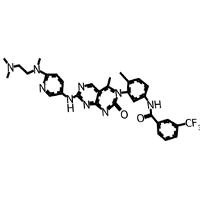 Cc1ccc(NC(=O)c2cccc(C(F)(F)F)c2)cc1-n1c(C)c2cnc(Nc3ccc(N(C)CCN(C)C)nc3)nc2nc1=O